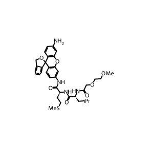 COCCOCC(=O)N[C@@H](CC(C)C)C(=O)N[C@@H](CCSC)C(=O)Nc1ccc2c(c1)Oc1cc(N)ccc1C21OCc2ccccc21